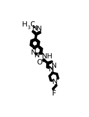 Cn1cc(-c2ccc3nnc(NC(=O)c4cnn(C5CCN(CCF)CC5)c4)cc3c2)cn1